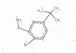 CC(C)(C#N)c1ccc(Br)c(CN)c1